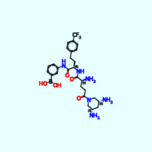 N[C@@H]1C[C@H](N)CN(C(=O)CC[C@H](N)C(=O)N[C@H](CCc2ccc(C(F)(F)F)cc2)C(=O)Nc2cccc(B(O)O)c2)C1